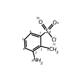 Cc1c(N)cccc1S(=O)(=O)Cl